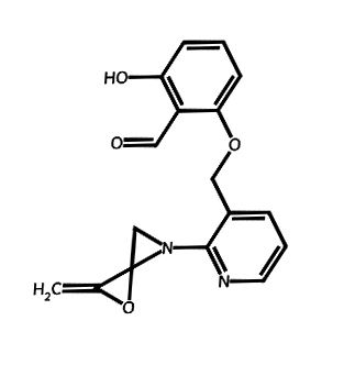 C=C1OC12CN2c1ncccc1COc1cccc(O)c1C=O